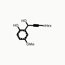 CCCCCCC#CC(O)c1cc(OC)ccc1O